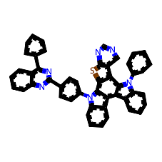 c1ccc(-c2nc(-c3ccc(-n4c5ccccc5c5c6c7ccccc7n(-c7ccccc7)c6c6c7cncnc7sc6c54)cc3)nc3ccccc23)cc1